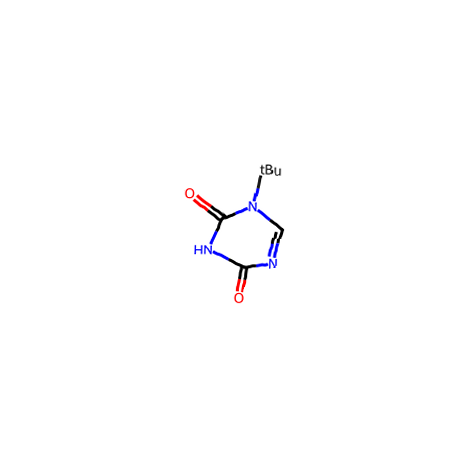 CC(C)(C)n1cnc(=O)[nH]c1=O